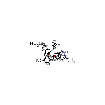 C\C1=C(c2ccc(Cc3nc4sc(C(=O)O)cc4n3C[C@@H]3CCO3)cc2)/C=C\C=C(\OCc2ccc(C#N)cc2F)CC1